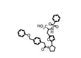 O=C(O)C(Cc1ccc(C2CCCN2C(=O)Cc2ccc(COc3ccccc3)cc2)o1)NS(=O)(=O)c1ccccc1